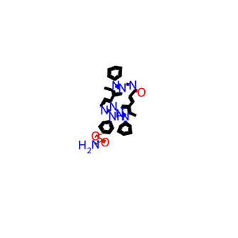 Cc1c(-c2ccnc(Nc3ccc(S(N)(=O)=O)cc3)n2)cnn1-c1ccccc1.Cc1c(C=CC(=O)N(C)C)cnn1-c1ccccc1